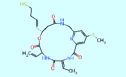 C=CC1NC(=O)/C(=C/C)NC(=O)c2cc(SC)cc(n2)CNC(=O)C[C@@H](/C=C/CCS)OC1=O